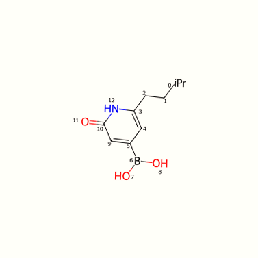 CC(C)CCc1cc(B(O)O)cc(=O)[nH]1